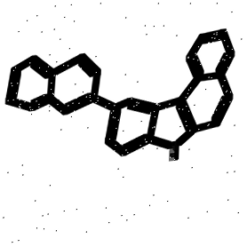 c1ccc2cc(-c3ccc4[nH]c5ccc6ccccc6c5c4c3)ccc2c1